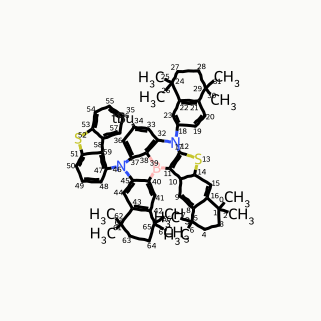 CC1(C)CCC(C)(C)C2=CC3C4=C(SC3C=C21)N(c1ccc2c(c1)C(C)(C)CCC2(C)C)c1cc(C(C)(C)C)cc2c1B4c1cc3c(cc1N2c1cccc2sc4ccccc4c12)C(C)(C)CCC3(C)C